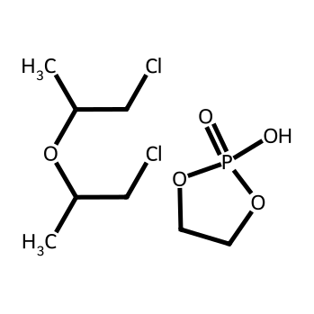 CC(CCl)OC(C)CCl.O=P1(O)OCCO1